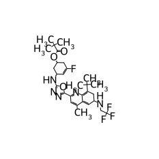 Cc1cc(-c2nnc(N[C@@H]3C=C(F)C[C@H](OC(=O)C(C)(C)C)C3)o2)nc2c1=CC(NCC(F)(F)F)CC=2C(C)(C)C